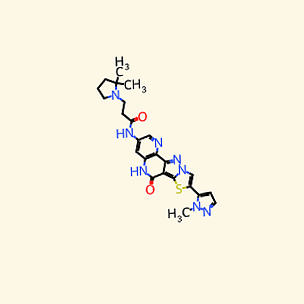 Cn1nccc1-c1cn2nc3c4ncc(NC(=O)CCN5CCCC5(C)C)cc4[nH]c(=O)c3c2s1